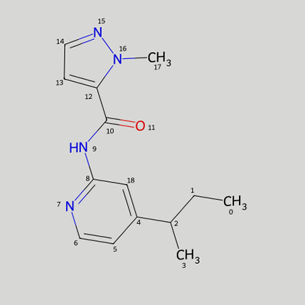 CCC(C)c1ccnc(NC(=O)c2ccnn2C)c1